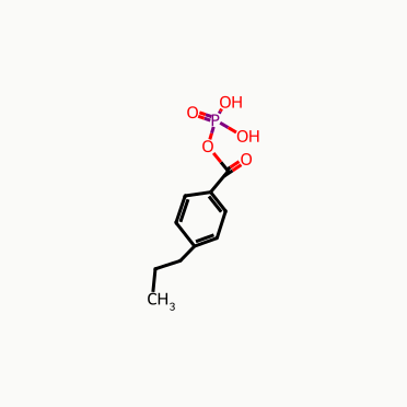 CCCc1ccc(C(=O)OP(=O)(O)O)cc1